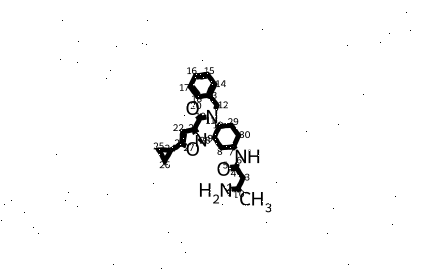 CC(N)CC(=O)NC1CCC(N(Cc2ccccc2)C(=O)c2cc(C3CC3)on2)CC1